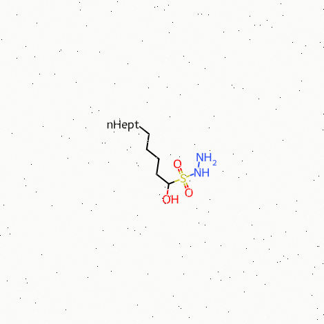 CCCCCCCCCCCC(O)S(=O)(=O)NN